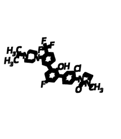 CC(C)N1CCN(c2cc(-c3cc(F)cc(-c4ccc(-n5ccn(C)c5=O)c(Cl)c4)c3O)ccc2C(F)(F)F)CC1